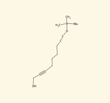 CC(C)(C)[Si](C)(C)OCCCCCCC#CCO